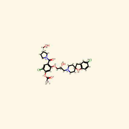 O=C(c1cc(Cl)c(OC(=O)C(F)(F)F)cc1OC[C@H](O)CN1CCC2(CC1)Cc1cc(Cl)ccc1O2)N1CC[C@H](CO)C1